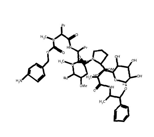 CCC(C)C(C(CC(=O)N1CCCC1C(OC)C(C)C(=O)NC(C)C(O[C@@H]1OC(CO)C(O)C(O)C1O)c1ccccc1)OC)N(C)C(=O)C(NC(=O)C(C(C)C)N(C)C(=O)OCc1ccc(N)cc1)C(C)C